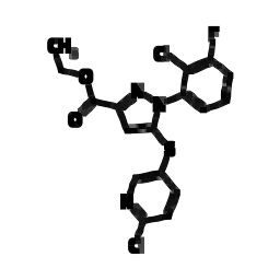 CCOC(=O)c1cc(Sc2ccc(Cl)nc2)n(-c2cccc(F)c2Cl)n1